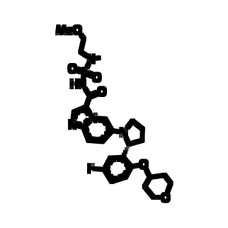 COCCN(C)S(=O)(=O)NC(=O)c1cnc2ccc(N3CCC[C@@H]3c3cc(F)ccc3OC3CCOCC3)cn12